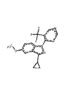 COc1ccc2c(c1)c(C1CC1)nn2-c1ncncc1C(F)(F)F